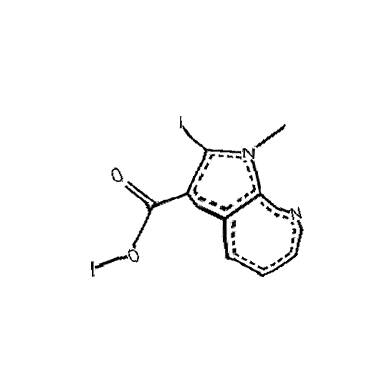 Cn1c(I)c(C(=O)OI)c2cccnc21